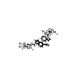 CC(C)(C)OC(=O)N1CCC12CCCN(c1c(C#N)cnc3c1ccn3COCC[Si](C)(C)C)C2